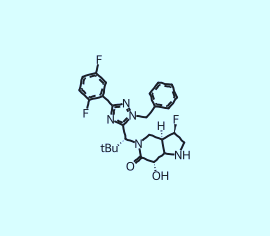 CC(C)(C)[C@H](c1nc(-c2cc(F)ccc2F)nn1Cc1ccccc1)N1C[C@@H]2C(NC[C@@H]2F)[C@H](O)C1=O